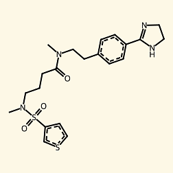 CN(CCc1ccc(C2=NCCN2)cc1)C(=O)CCCN(C)S(=O)(=O)c1ccsc1